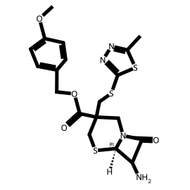 COc1ccc(COC(=O)C2(CSc3nnc(C)s3)CS[C@@H]3C(N)C(=O)N3C2)cc1